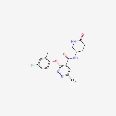 Cc1cc(F)ccc1Oc1nnc(C(F)(F)F)cc1C(=O)NC1CCC(=O)NC1